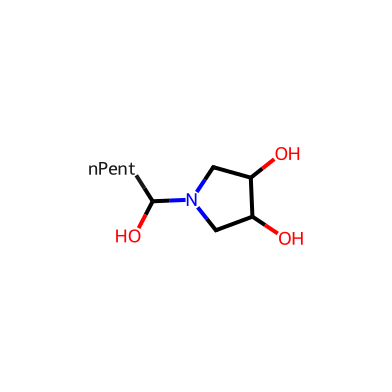 CCCCCC(O)N1CC(O)C(O)C1